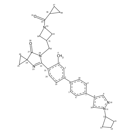 Cc1cc(-c2ccc(-c3cnn(C4CCC4)c3)cc2)ccc1C1=NC2(CC2)C(=O)N1CC1CN(C(=O)C2CC2)C1